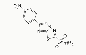 NS(=O)(=O)c1nn2cc(-c3ccc([N+](=O)[O-])cc3)nc2s1